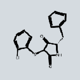 O=C1N[C@@H](Cc2ccccc2)C(=O)C1Sc1ccccc1Cl